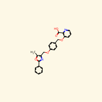 Cc1oc(-c2ccccc2)nc1COc1ccc(COc2cccnc2C(=O)O)cc1